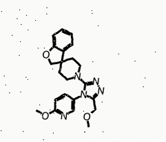 COCc1nnc(N2CCC3(CC2)COc2ccccc23)n1-c1ccc(OC)nc1